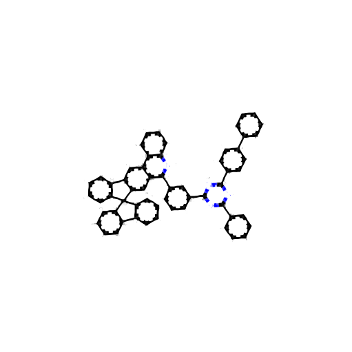 c1ccc(-c2ccc(-c3nc(-c4ccccc4)nc(-c4cccc(-c5nc6ccccc6c6cc7c(cc56)C5(c6ccccc6-c6ccccc65)c5ccccc5-7)c4)n3)cc2)cc1